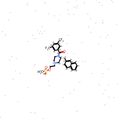 CS(=O)(=O)OCCN1CCN(C(=O)c2cc(C(F)(F)F)cc(C(F)(F)F)c2)[C@H](Cc2ccc3ccccc3c2)C1